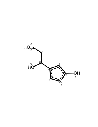 O=S(=O)(O)CC(O)c1csc(O)c1